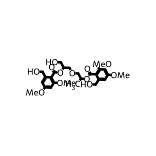 COc1cc(CO)c(C(=O)OC(C)COCC(CO)OC(=O)c2c(CO)cc(OC)cc2OC)c(OC)c1